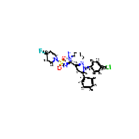 CNC(=NS(=O)(=O)N1CCC(F)CC1)C1=NN(c2ccc(Cl)cc2)C(c2ccccc2)C1